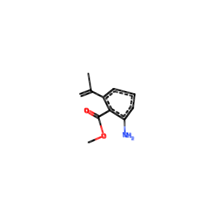 C=C(C)c1cccc(N)c1C(=O)OC